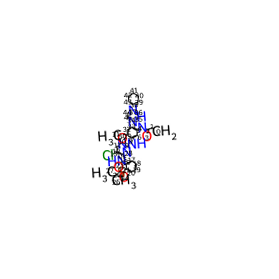 C=CC(=O)Nc1cc(Nc2ncc(Cl)c(Nc3ccccc3S(=O)(=O)C(C)C)n2)c(OC)cc1N1CCN(C2CCCCC2)CC1